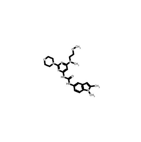 COCCN(C)c1cc(NC(=O)Nc2ccc3c(c2)cc(C)n3C)nc(N2CCOCC2)n1